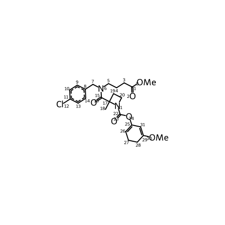 COC(=O)CCCN(Cc1ccc(Cl)cc1)C(=O)C1(C)CCN1C(=O)OC1=CCCC(OC)=C1